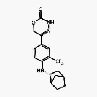 O=C1NN=C(c2ccc(N[C@@H]3CC4CCC3C4)c(C(F)(F)F)c2)CO1